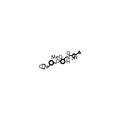 COc1c(CNC(=O)c2cc(C3CC3)nn2C)cccc1OCc1cccc(CN2CCOCC2)c1